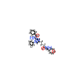 O=C(CCCc1cn(-c2ccccc2)c(NC(=O)c2ccccc2)n1)NCC1CCOCC1